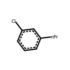 CCCc1[c]ccc(Cl)c1